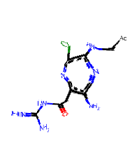 CC(=O)CNc1nc(N)c(C(=O)NC(=N)N)nc1Cl